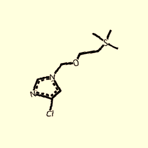 CS(C)(C)CCOCn1cnc(Cl)c1